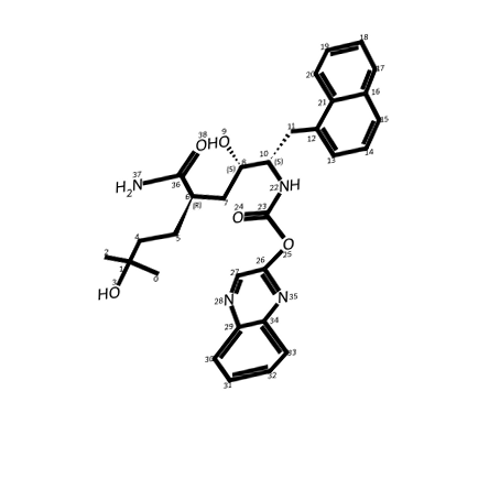 CC(C)(O)CC[C@H](C[C@H](O)[C@H](Cc1cccc2ccccc12)NC(=O)Oc1cnc2ccccc2n1)C(N)=O